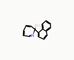 BC1(c2cccc3ccccc23)C=CC=CC=N1